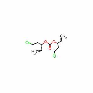 C=CC(CCCl)OC(=O)OC(C=C)CCCl